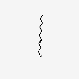 [Li][CH2]CC=CCCCCCC